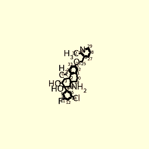 CC[C@@]12C[C@H](O)[C@](O)(c3cc(F)cc(Cl)c3)C[C@@]1(N)CCc1cc(OCc3cccnc3C)ccc12